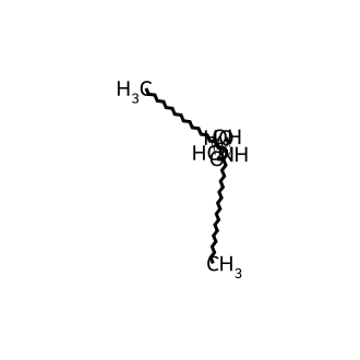 CCCCCCCCCCCCCCCCCCCC(=O)N[C@@H](CO)[C@H](O)[C@H](O)CCCCCCCCCCCCCCCC